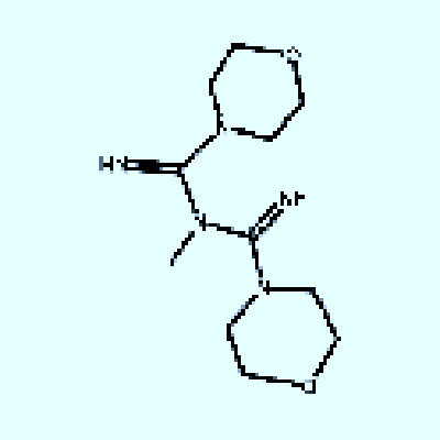 CN(C(=N)N1CCOCC1)C(=N)N1CCOCC1